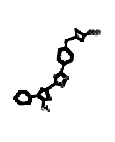 Cc1sc(-c2nc(-c3ccc(CN4CC(C(=O)O)C4)cc3)no2)cc1-c1ccccc1